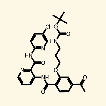 CC(=O)c1ccc(C(=O)Nc2cccnc2C(=O)Nc2ccc(Cl)cn2)c(OCCCNC(=O)OC(C)(C)C)c1